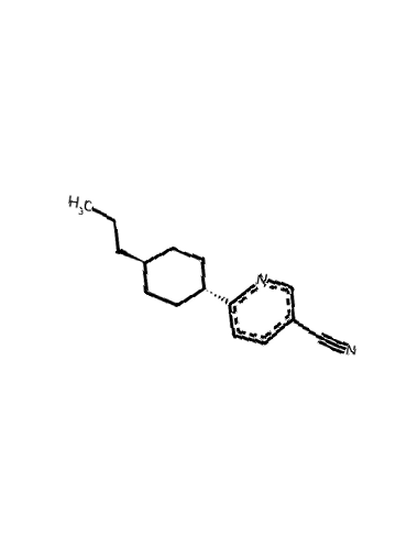 CCC[C@H]1CC[C@H](c2ccc(C#N)cn2)CC1